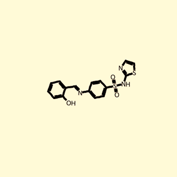 O=S(=O)(Nc1nccs1)c1ccc(/N=C/c2ccccc2O)cc1